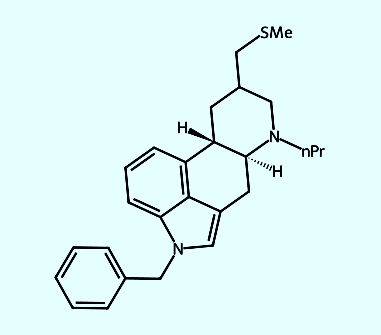 CCCN1CC(CSC)C[C@H]2c3cccc4c3c(cn4Cc3ccccc3)C[C@@H]21